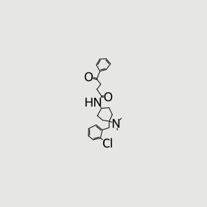 CN(C)C1(Cc2ccccc2Cl)CCC(NC(=O)CCC(=O)c2ccccc2)CC1